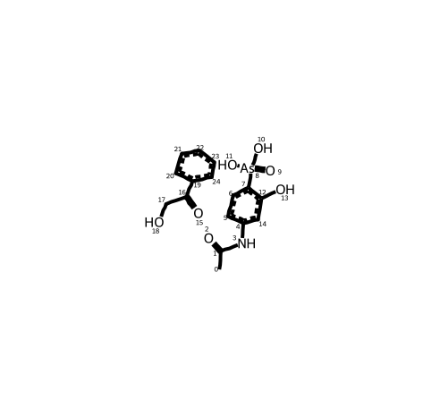 CC(=O)Nc1ccc([As](=O)(O)O)c(O)c1.O=C(CO)c1ccccc1